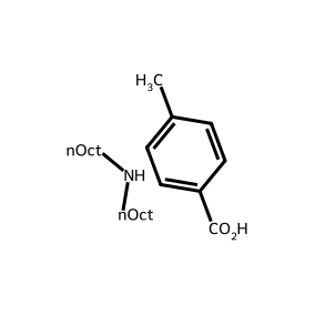 CCCCCCCCNCCCCCCCC.Cc1ccc(C(=O)O)cc1